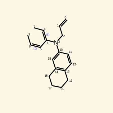 C=CCN(C(/C=C\C)=C/C)c1ccc2c(c1)CCCC2